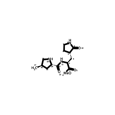 COC(=O)[C@H](C[C@@H]1CCNC1=O)NC(=O)[C@@H]1C[C@@H](C)CN1